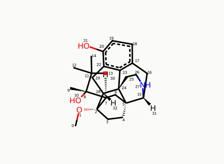 CO[C@@]12CC[C@@]3(C[C@@H]1[C@](C)(O)C(C)(C)C)[C@H]1Cc4ccc(O)c5c4[C@@]3(CCN1)[C@H]2C5